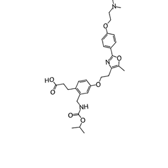 Cc1oc(-c2ccc(OCCN(C)C)cc2)nc1CCOc1ccc(CCC(=O)O)c(CNC(=O)OC(C)C)c1